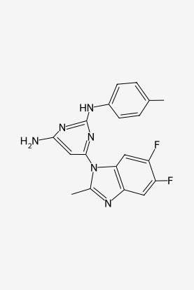 Cc1ccc(Nc2nc(N)cc(-n3c(C)nc4cc(F)c(F)cc43)n2)cc1